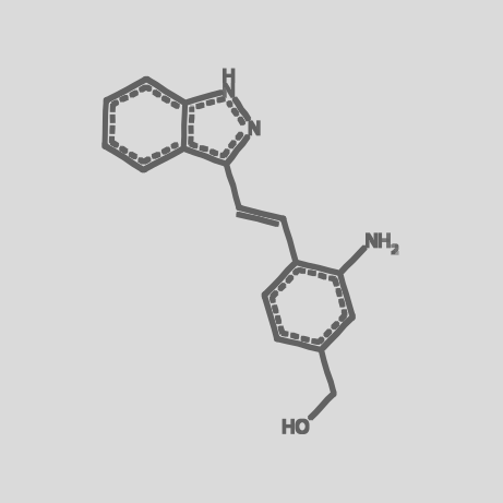 Nc1cc(CO)ccc1/C=C/c1n[nH]c2ccccc12